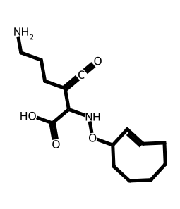 NCCCC(=C=O)C(NOC1/C=C/CCCCC1)C(=O)O